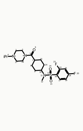 CC(C)N1CCN(C(=O)C2CCC(N(C)S(=O)(=O)c3ccc(F)cc3F)CC2)CC1